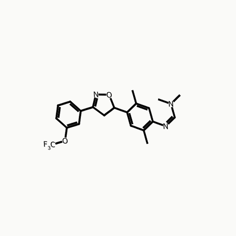 Cc1cc(C2CC(c3cccc(OC(F)(F)F)c3)=NO2)c(C)cc1/N=C\N(C)C